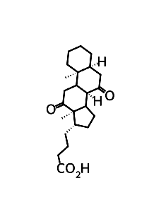 C[C@]12C(=O)CC3[C@@H](C(=O)C[C@@H]4CCCC[C@]34C)C1CC[C@@H]2CCCC(=O)O